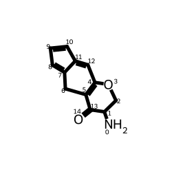 NC1COC2=C(CC3=CC=CC3=C2)C1=O